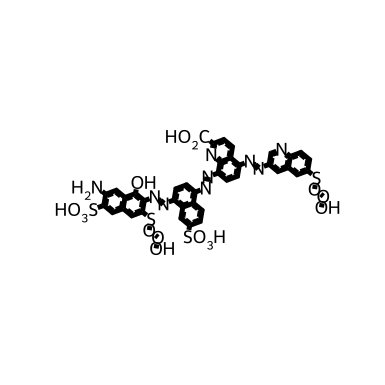 Nc1cc2c(O)c(/N=N/c3ccc(/N=N/c4ccc(/N=N/c5cnc6ccc(SOOO)cc6c5)c5ccc(C(=O)O)nc45)c4ccc(S(=O)(=O)O)cc34)c(SOOO)cc2cc1S(=O)(=O)O